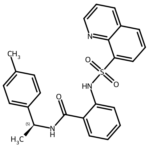 Cc1ccc([C@H](C)NC(=O)c2ccccc2NS(=O)(=O)c2cccc3cccnc23)cc1